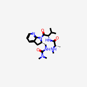 CN[C@@H](C)C(=O)N[C@H](C(=O)N1c2ncccc2C[C@H]1CNC(=O)N(C)C)C(C)C